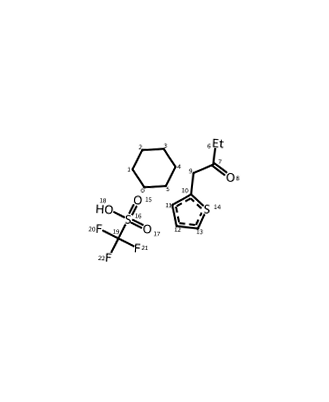 C1CCCCC1.CCC(=O)Cc1cccs1.O=S(=O)(O)C(F)(F)F